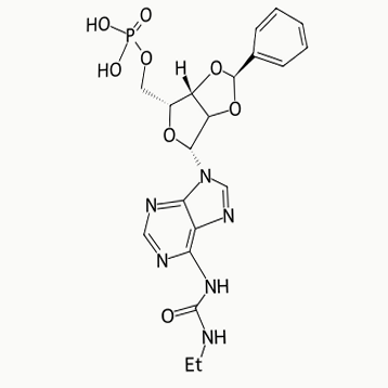 CCNC(=O)Nc1ncnc2c1ncn2[C@@H]1O[C@H](COP(=O)(O)O)[C@@H]2O[C@@H](c3ccccc3)OC21